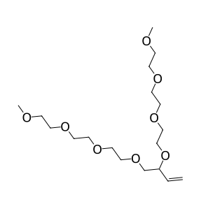 C=CC(COCCOCCOCCOC)OCCOCCOCCOC